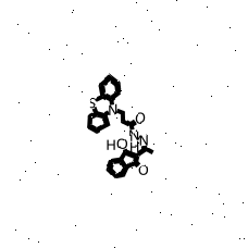 C/C(=N/NC(=O)CCN1c2ccccc2Sc2ccccc21)C1=C(O)c2ccccc2C1=O